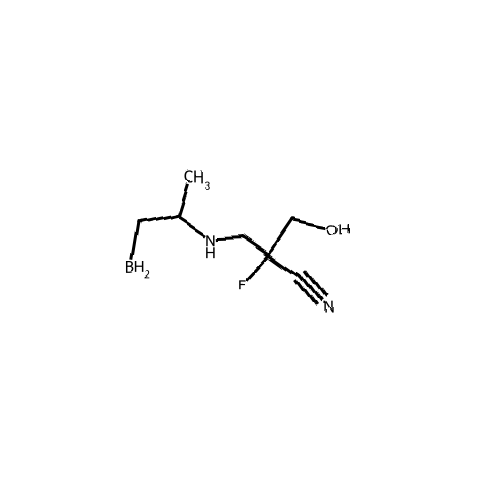 BCC(C)NCC(F)(C#N)CO